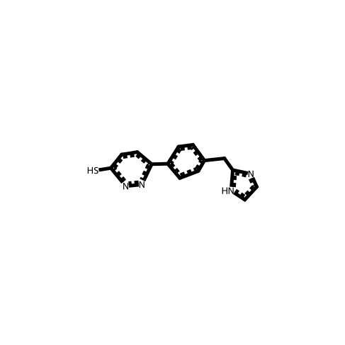 Sc1ccc(-c2ccc(Cc3ncc[nH]3)cc2)nn1